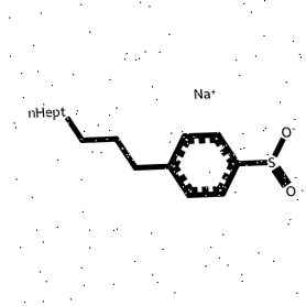 CCCCCCCCCCc1ccc(S(=O)[O-])cc1.[Na+]